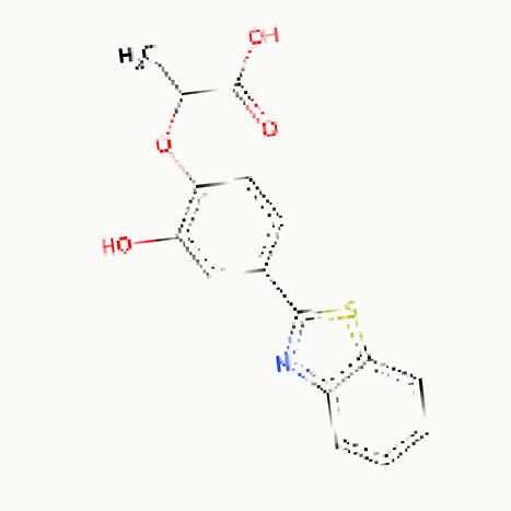 CC(Oc1ccc(-c2nc3ccccc3s2)cc1O)C(=O)O